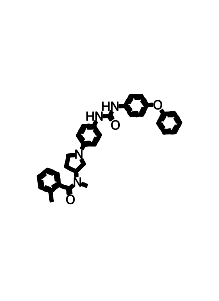 Cc1ccccc1C(=O)N(C)C1CCN(c2ccc(NC(=O)Nc3ccc(Oc4ccccc4)cc3)cc2)C1